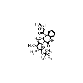 CC(C(=O)N[C@@H]1C(=O)Nc2ccccc2N(C(=O)CS(C)(=O)=O)[C@H]1C)N(C)C(=O)OC(C)(C)C